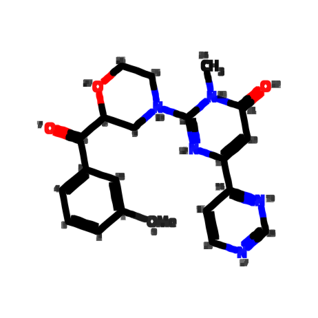 COc1cccc(C(=O)C2CN(c3nc(-c4ccncn4)cc(=O)n3C)CCO2)c1